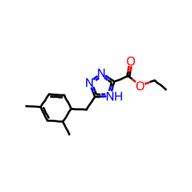 CCOC(=O)c1nnc(CC2C=CC(C)=CC2C)[nH]1